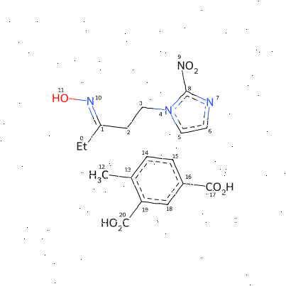 CCC(CCn1ccnc1[N+](=O)[O-])=NO.Cc1ccc(C(=O)O)cc1C(=O)O